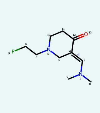 CN(C)/C=C1\CN(CCF)CCC1=O